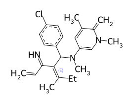 C=CC(=N)/C(=C(\C)CC)C(c1ccc(Cl)cc1)N(C)C1=CN(C)C(=C)C(C)=C1